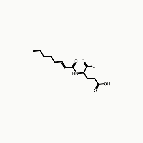 CCCCC/C=C/C(=O)NC(CCC(=O)O)C(=O)O